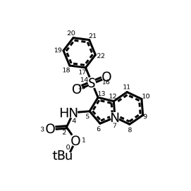 CC(C)(C)OC(=O)Nc1cn2ccccc2c1S(=O)(=O)c1ccccc1